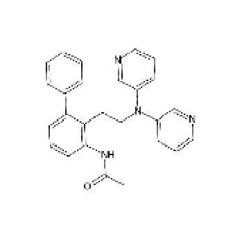 CC(=O)Nc1cccc(-c2ccccc2)c1CCN(c1cccnc1)c1cccnc1